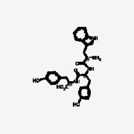 N[C@@H](Cc1c[nH]c2ccccc12)C(=O)N[C@@H](Cc1ccc(O)cc1)C(=O)N[C@@H](Cc1ccc(O)cc1)C(=O)O